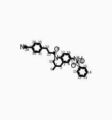 CC1Cc2cc(NS(=O)(=O)c3ccccc3)ccc2N(C(=O)CCc2ccc(C#N)cc2)C1